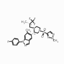 Cc1cc2c(cnn2-c2ccc(F)cc2)cc1[C@H]1CN(S(=O)(=O)c2cnn(C)n2)CCN1C[C@H](C)C(F)(F)F